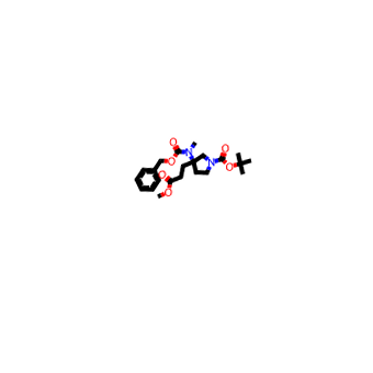 COC(=O)CCC1(N(C)C(=O)OCc2ccccc2)CCN(C(=O)OC(C)(C)C)C1